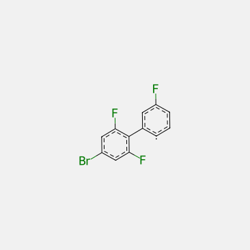 Fc1cc[c]c(-c2c(F)cc(Br)cc2F)c1